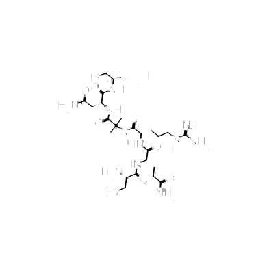 CC(C)(NC(=O)[C@H](CCCNC(=N)N)NC(=O)[C@H](CCC(N)=O)NC(=O)[C@@H](N)CS)C(=O)N[C@@H](CC(N)=O)C(=O)N[C@@H](CS)C(=O)O